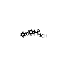 O=C(CCCO)c1cc2ccc(OCc3ccccc3)cc2s1